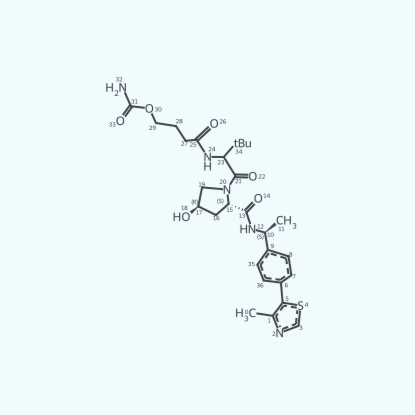 Cc1ncsc1-c1ccc([C@H](C)NC(=O)[C@@H]2C[C@@H](O)CN2C(=O)C(NC(=O)CCCOC(N)=O)C(C)(C)C)cc1